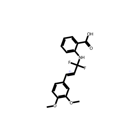 COc1ccc(/C=C/C(F)(F)Nc2ccccc2C(=O)O)cc1OC